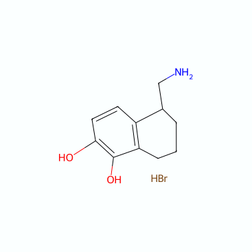 Br.NCC1CCCc2c1ccc(O)c2O